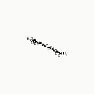 CC(=O)CC(=O)OCCOCCOCCOCCOC(=O)CC(C)=O